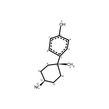 C[C@]1(c2ccc(O)cc2)CC[C@H](C#N)CC1